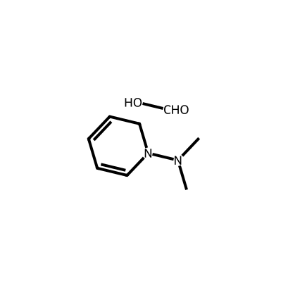 CN(C)N1C=CC=CC1.O=CO